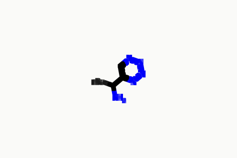 CCCCC(N)c1cnnnn1